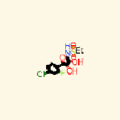 CCS(=O)(=O)Nc1oc(-c2ccc(Cl)cc2F)c(O)c1O